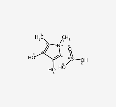 Cc1c(O)c(O)cn1C.O=S(O)O